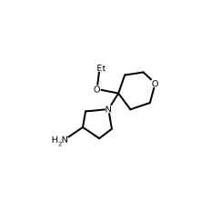 CCOC1(N2CCC(N)C2)CCOCC1